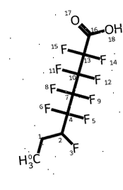 CCC(F)C(F)(F)C(F)(F)C(F)(F)C(F)(F)C(=O)O